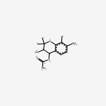 Cc1c([N+](=O)[O-])ccc2c1OC(C)(C)C(O)C2OC(N)=O